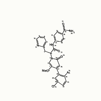 COc1cn(C(Cc2ccccn2)C(=O)Nc2ccc(C(N)=O)cc2)c(=O)cc1-c1cc(Cl)ccc1C(C)=O